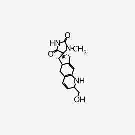 CN1C(=O)NC(=O)[C@@]12CC1=CC3=C(C=CC(CO)N3)CC1C2